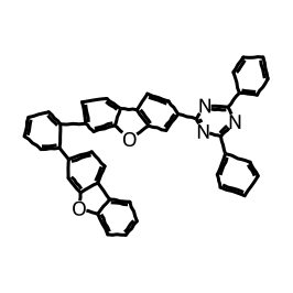 c1ccc(-c2nc(-c3ccccc3)nc(-c3ccc4c(c3)oc3cc(-c5ccccc5-c5ccc6c(c5)oc5ccccc56)ccc34)n2)cc1